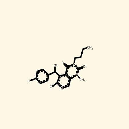 CCCCn1c(=O)c2c(C(O)c3ccc(Cl)cc3)c(Cl)ncc2n(C)c1=O